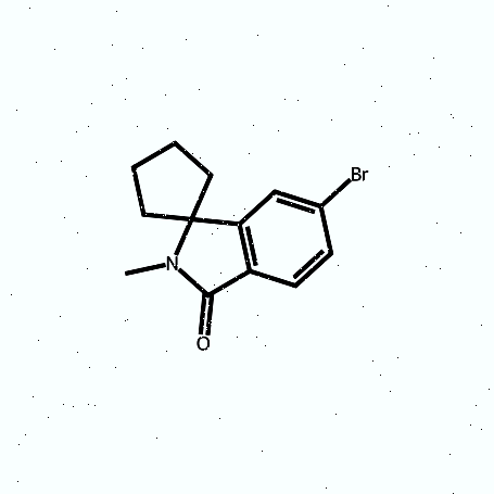 CN1C(=O)c2ccc(Br)cc2C12CCCC2